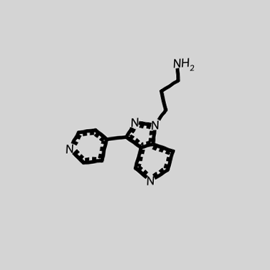 NCCCn1nc(-c2ccncc2)c2cnccc21